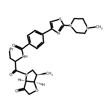 CC(C)CC(NC(=O)c1ccc(-c2csc(N3CCN(C)CC3)n2)cc1)C(=O)N1C[C@@H](C)[C@H]2OCC(=O)[C@H]21